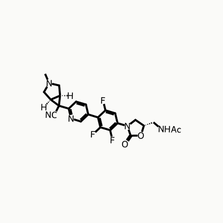 CC(=O)NC[C@H]1CN(c2cc(F)c(-c3ccc(C4(C#N)[C@@H]5CN(C)C[C@@H]54)nc3)c(F)c2F)C(=O)O1